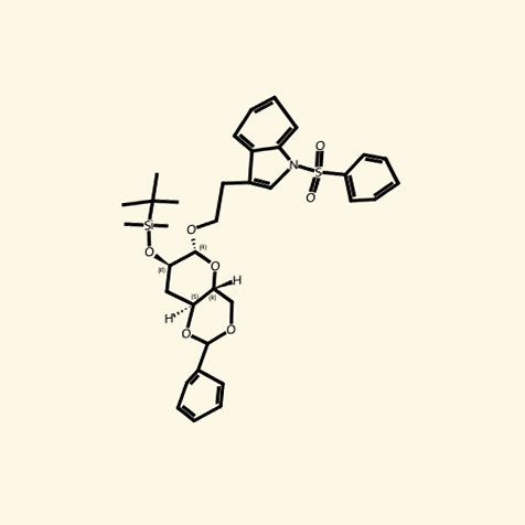 CC(C)(C)[Si](C)(C)O[C@@H]1C[C@@H]2OC(c3ccccc3)OC[C@H]2O[C@H]1OCCc1cn(S(=O)(=O)c2ccccc2)c2ccccc12